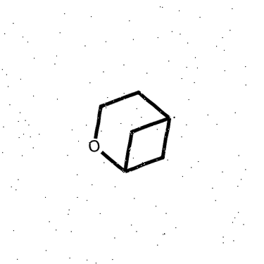 C1C[C]2CC(C2)O1